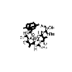 CCCCC(NC(=O)C(C)C(=O)N(O)C(CCCC)NC(=O)C(C)C(=O)N(O)C(CCCC)NC(=O)C12CC3CC(C)(CC(C)(C3)C1)C2)N(O)C(C)=O